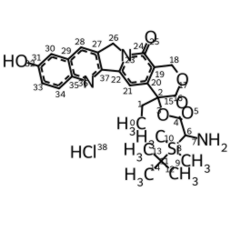 CCC1(OC(=O)C(N)[Si](C)(C)C(C)(C)C)C(=O)OCc2c1cc1n(c2=O)Cc2cc3cc(O)ccc3nc2-1.Cl